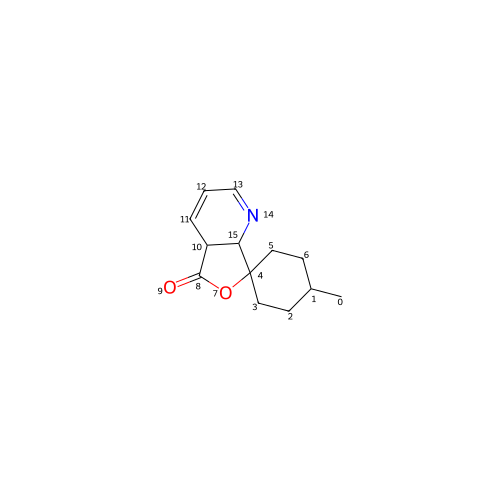 CC1CCC2(CC1)OC(=O)C1C=CC=NC12